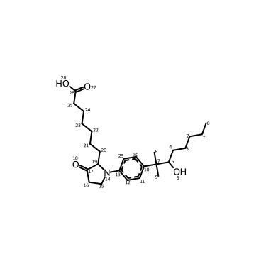 CCCCCC(O)C(C)(C)c1ccc(N2CCC(=O)C2CCCCCCC(=O)O)cc1